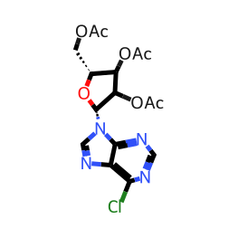 CC(=O)OC[C@H]1O[C@@H](n2cnc3c(Cl)ncnc32)C(OC(C)=O)C1OC(C)=O